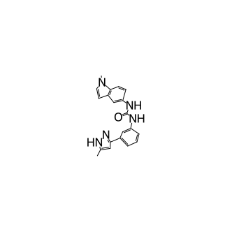 Cc1cc(-c2cccc(NC(=O)Nc3ccc4c(ccn4C)c3)c2)n[nH]1